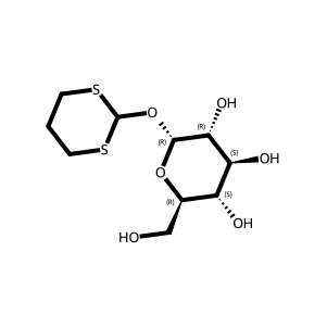 OC[C@H]1O[C@H](OC2SCCCS2)[C@H](O)[C@@H](O)[C@@H]1O